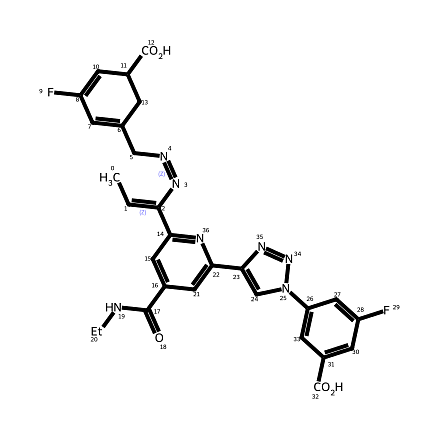 C/C=C(\N=N/CC1=CC(F)=CC(C(=O)O)C1)c1cc(C(=O)NCC)cc(-c2cn(-c3cc(F)cc(C(=O)O)c3)nn2)n1